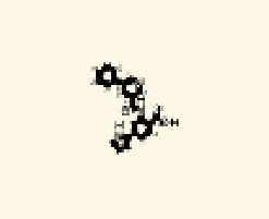 O=C(Nc1cc(-c2ccc[nH]2)ccc1C(=O)O)c1cncc(-c2ccccc2)c1